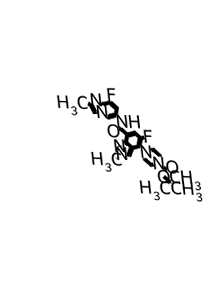 Cc1cn2cc(NC(=O)c3cc(F)c(N4CCN(C(=O)OC(C)(C)C)CC4)c4cn(C)nc34)cc(F)c2n1